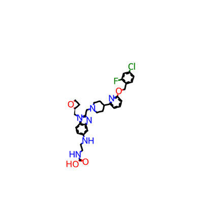 O=C(O)NCCNc1ccc2c(c1)nc(CN1CCC(c3cccc(OCc4ccc(Cl)cc4F)n3)CC1)n2C[C@@H]1CCO1